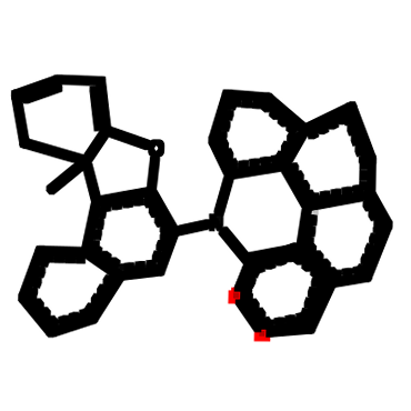 CC12CC=CC=C1Oc1c(N(c3ccccc3)c3cccc4ccc5ccc6ccccc6c5c34)cc3ccccc3c12